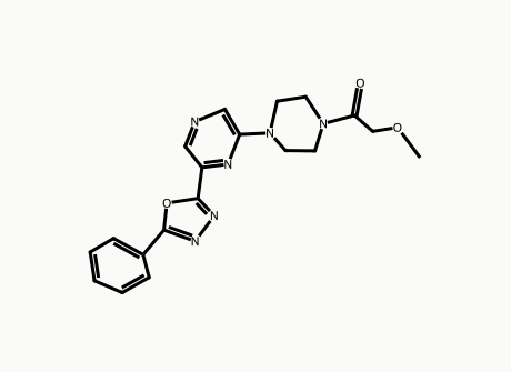 COCC(=O)N1CCN(c2cncc(-c3nnc(-c4ccccc4)o3)n2)CC1